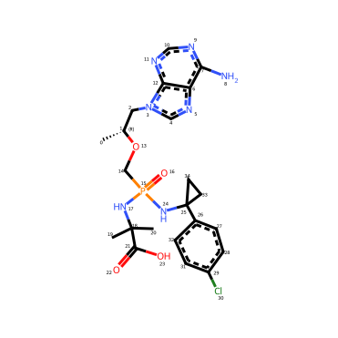 C[C@H](Cn1cnc2c(N)ncnc21)OCP(=O)(NC(C)(C)C(=O)O)NC1(c2ccc(Cl)cc2)CC1